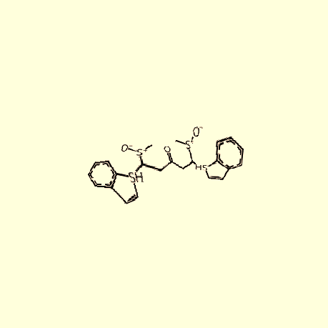 C[S+]([O-])C(CC(=O)CC([S+](C)[O-])[SH]1C=Cc2ccccc21)[SH]1C=Cc2ccccc21